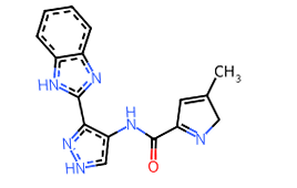 CC1=CC(C(=O)Nc2c[nH]nc2-c2nc3ccccc3[nH]2)=NC1